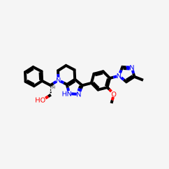 COc1cc(-c2n[nH]c3c2CCCN3[C@H](CO)c2ccccc2)ccc1-n1cnc(C)c1